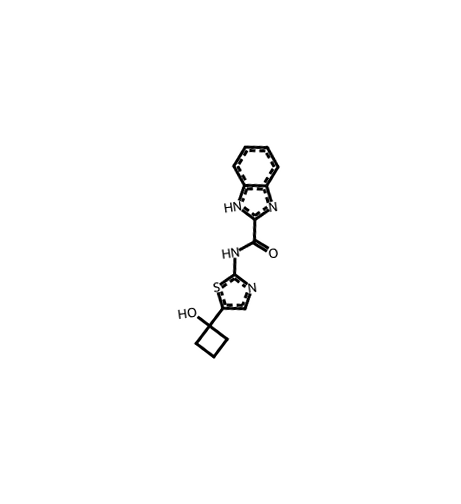 O=C(Nc1ncc(C2(O)CCC2)s1)c1nc2ccccc2[nH]1